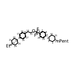 CCCCC[C@H]1CC[C@H](c2ccc(C(F)(F)OCCc3ccc([C@H]4CC[C@H](CC)CC4)cc3)cc2)CC1